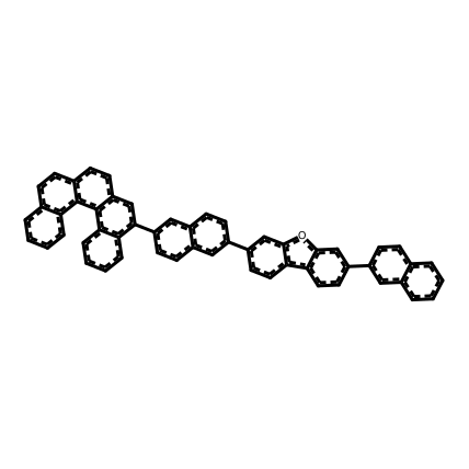 c1ccc2cc(-c3ccc4c(c3)oc3cc(-c5ccc6cc(-c7cc8ccc9ccc%10ccccc%10c9c8c8ccccc78)ccc6c5)ccc34)ccc2c1